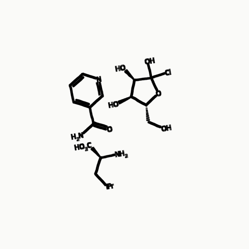 CC(C)C[C@H](N)C(=O)O.NC(=O)c1cccnc1.OC[C@H]1OC(O)(Cl)[C@H](O)[C@@H]1O